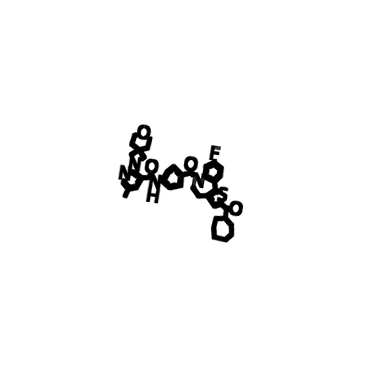 Cc1cnc(N2CC3(CCOCC3)C2)c(C(=O)Nc2ccc(C(=O)N3CCc4cc(C(=O)C5CCCCCC5)sc4-c4ccc(F)cc43)cc2)c1